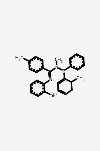 CCCc1ccccc1/N=C(\c1ccc(C)cc1)N(C)P(C1=CC=CCC1C)c1ccccc1